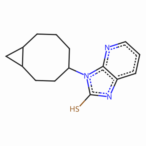 Sc1nc2cccnc2n1C1CCCC2CC2CC1